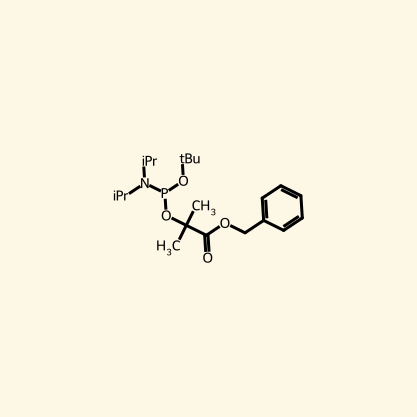 CC(C)N(C(C)C)P(OC(C)(C)C)OC(C)(C)C(=O)OCc1ccccc1